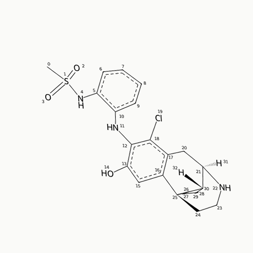 CS(=O)(=O)Nc1ccccc1Nc1c(O)cc2c(c1Cl)C[C@H]1NCC[C@@]23CCCC[C@@H]13